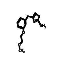 COCCOc1cccc(Cc2csc(N)n2)c1